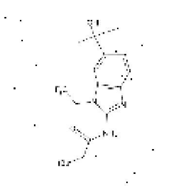 CC(C)(C)CC(=O)Nc1nc2ccc(C(C)(C)O)cc2n1CC(F)(F)F